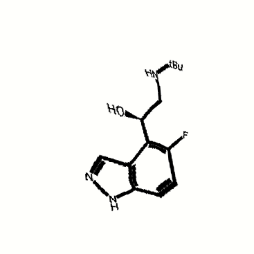 CC(C)(C)NC[C@H](O)c1c(F)ccc2[nH]ncc12